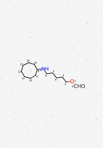 O=COCCCCCNC1CCCCCCC1